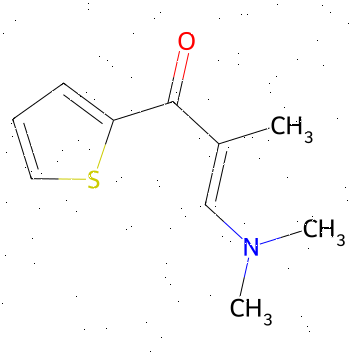 CC(=CN(C)C)C(=O)c1cccs1